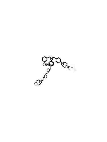 COc1cccc(CN(Cc2ccc(N3CCN(C)CC3)cc2)c2ccc(COCCOCCN3CCOCC3)cc2)c1